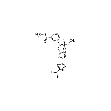 CCS(=O)(=O)N(Cc1ncc(-c2nnc(C(F)F)o2)s1)c1cccc(C(=O)OC)c1